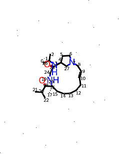 CC(C)N[C@]12CCN(C/C=C/CCCCC[C@@](C)(C(=O)C(C)C)NCC1=O)C2